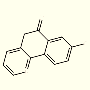 O=C1Cc2cccnc2-c2ccc(F)cc21